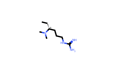 CC[C@H](CCCNC(=N)N)N(C)C